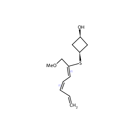 C=C/C=C\C=C(/COC)S[C@H]1C[C@@H](O)C1